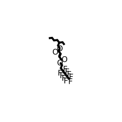 CCCCC(CC)COC(=O)C=CC(=O)OCCC(F)(F)C(F)(F)C(F)(F)C(F)(F)F